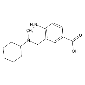 CN(Cc1cc(C(=O)O)ccc1N)C1CCCCC1